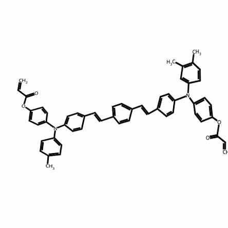 C=CC(=O)Oc1ccc(N(c2ccc(C)cc2)c2ccc(C=Cc3ccc(C=Cc4ccc(N(c5ccc(OC(=O)C=C)cc5)c5ccc(C)c(C)c5)cc4)cc3)cc2)cc1